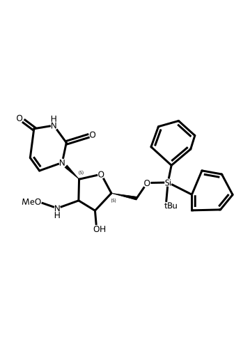 CONC1C(O)[C@H](CO[Si](c2ccccc2)(c2ccccc2)C(C)(C)C)O[C@@H]1n1ccc(=O)[nH]c1=O